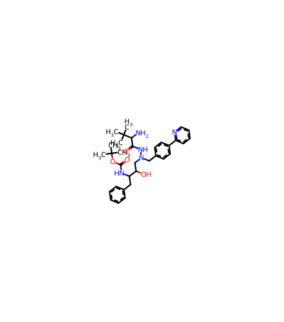 CC(C)(C)OC(=O)NC(Cc1ccccc1)C(O)CN(Cc1ccc(-c2ccccn2)cc1)NC(=O)C(N)C(C)(C)C